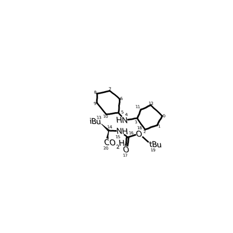 C1CCC(NC2CCCCC2)CC1.CC[C@H](C)[C@@H](NC(=O)OC(C)(C)C)C(=O)O